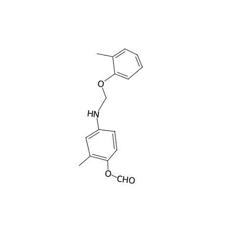 Cc1cc(NCOc2ccccc2C)ccc1OC=O